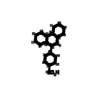 O=S(=O)(O)c1ccc(-c2nc3ccccc3c3ccccc23)cc1